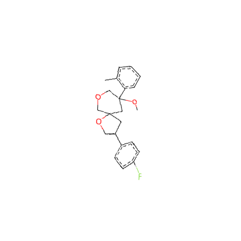 COC1(c2ccccc2C)COCC2(CC(c3ccc(F)cc3)CO2)C1